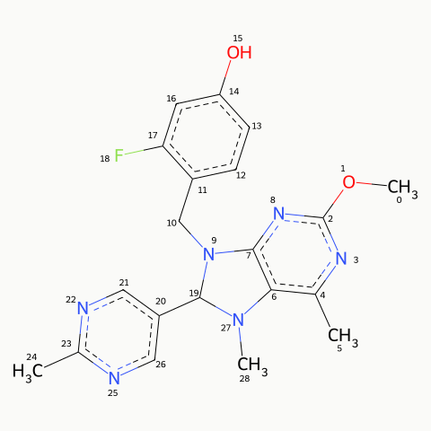 COc1nc(C)c2c(n1)N(Cc1ccc(O)cc1F)C(c1cnc(C)nc1)N2C